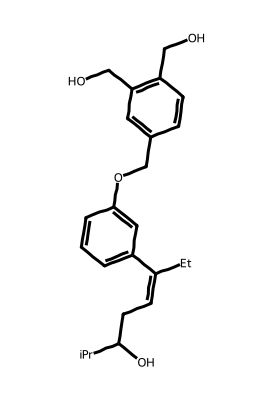 CC/C(=C/CC(O)C(C)C)c1cccc(OCc2ccc(CO)c(CO)c2)c1